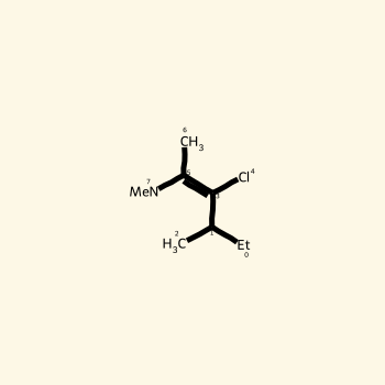 CCC(C)/C(Cl)=C(/C)NC